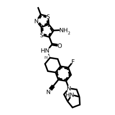 Cc1nc2sc(C(=O)N[C@H]3CCc4c(C#N)c(N5CC6CCC(C5)N6)cc(F)c4C3)c(N)c2s1